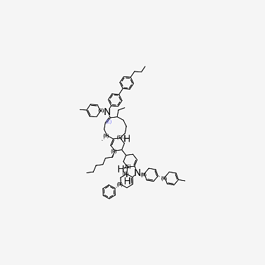 CCCCCC[C@H]1C=C2[C@@H](CCCC(CC)/C(N(c3ccc(-c4ccc(CCC)cc4)cc3)[C@H]3C=CC(C)=CC3)=C\C[C@H]2C)CC1C1CC=C2[C@@H](C1)[C@H]1C[C@@H](c3ccccc3)CC=C1N2[C@H]1C=CC([C@H]2C=CC(C)=CC2)=CC1